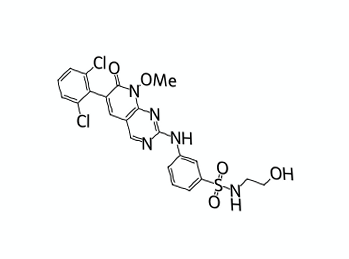 COn1c(=O)c(-c2c(Cl)cccc2Cl)cc2cnc(Nc3cccc(S(=O)(=O)NCCO)c3)nc21